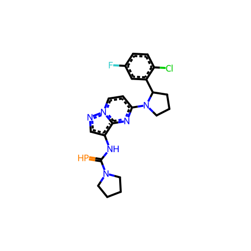 Fc1ccc(Cl)c(C2CCCN2c2ccn3ncc(NC(=P)N4CCCC4)c3n2)c1